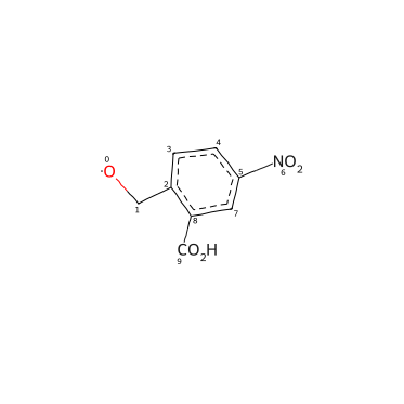 [O]Cc1ccc([N+](=O)[O-])cc1C(=O)O